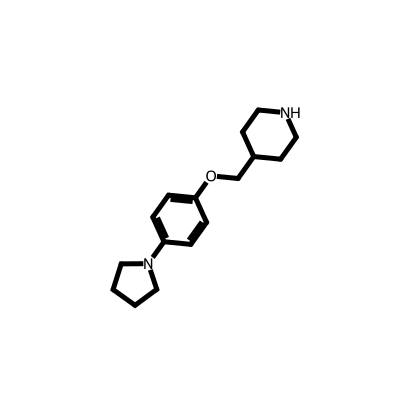 c1cc(N2CCCC2)ccc1OCC1CCNCC1